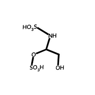 O=S(=O)(O)NC(CO)OS(=O)(=O)O